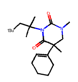 CN1CC(C)(C2=CCCCC2)C(=O)N(C(C)(C)CC(C)(C)C)C1=O